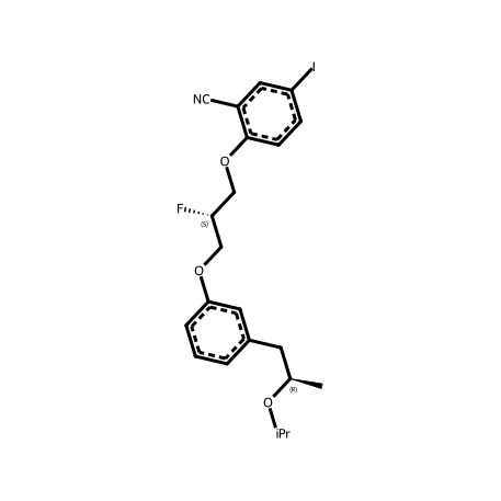 CC(C)O[C@H](C)Cc1cccc(OC[C@H](F)COc2ccc(I)cc2C#N)c1